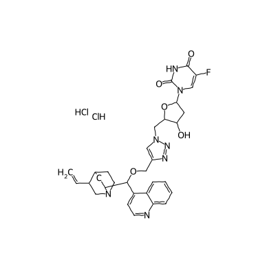 C=CC1CN2CCC1CC2C(OCc1cn(CC2OC(n3cc(F)c(=O)[nH]c3=O)CC2O)nn1)c1ccnc2ccccc12.Cl.Cl